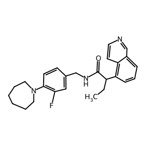 CCC(C(=O)NCc1ccc(N2CCCCCC2)c(F)c1)c1cccc2cnccc12